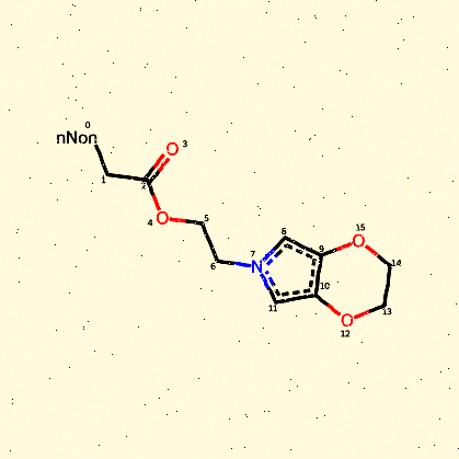 CCCCCCCCCCC(=O)OCCn1cc2c(c1)OCCO2